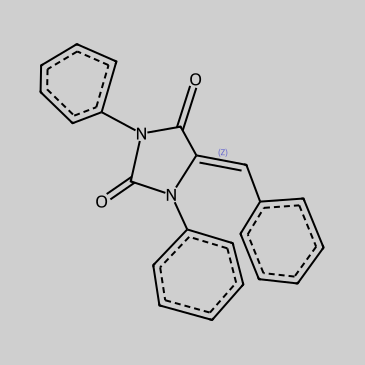 O=C1/C(=C/c2ccccc2)N(c2ccccc2)C(=O)N1c1ccccc1